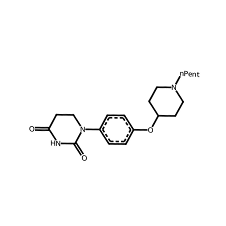 CCCCCN1CCC(Oc2ccc(N3CCC(=O)NC3=O)cc2)CC1